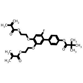 C=C(C)C(=O)OCCOc1cc(F)c(-c2ccc(OC(=O)C(C)(C)C)cc2)cc1OCCOC(=O)C(=C)C